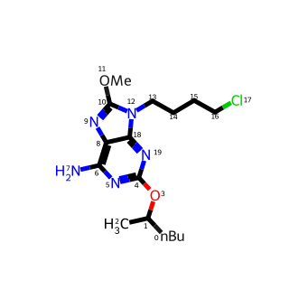 CCCCC(C)Oc1nc(N)c2nc(OC)n(CCCCCl)c2n1